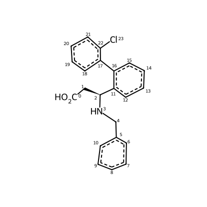 O=C(O)C[C@H](NCc1ccccc1)c1ccccc1-c1ccccc1Cl